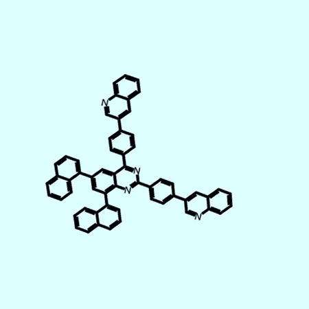 c1ccc2ncc(-c3ccc(-c4nc(-c5ccc(-c6cnc7ccccc7c6)cc5)c5cc(-c6cccc7ccccc67)cc(-c6cccc7ccccc67)c5n4)cc3)cc2c1